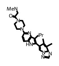 CNCC(=O)N1CCN(c2ccc3[nH]c(-c4cn5ncnc5c(C)c4C)c(C(C)C)c3n2)CC1